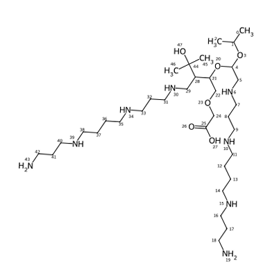 CC(C)OC(CNCCCNCCCCNCCCN)OC(COCC(=O)O)C(CNCCCNCCCCNCCCN)C(C)(C)O